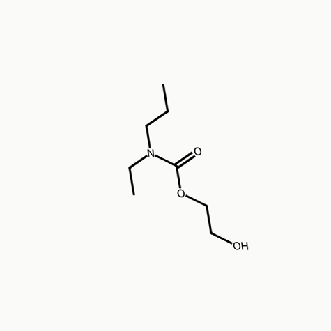 CCCN(CC)C(=O)OCCO